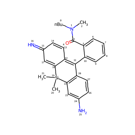 CCCCN(C)C(=O)c1ccccc1C1=C2C=CC(=N)C=C2[Si](C)(C)c2cc(N)ccc21